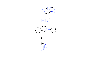 C[C@@H](NC(=O)c1c(N)ncn2ccnc12)c1cc2cccc(C#Cc3cnn(C)c3)c2c(=O)n1-c1ccccc1